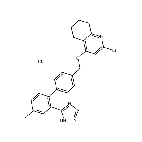 CCc1cc(OCc2ccc(-c3ccc(C)cc3-c3nnn[nH]3)cc2)c2c(n1)CCCC2.Cl